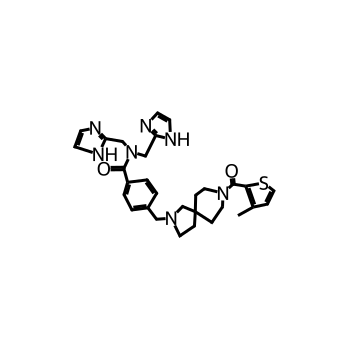 Cc1ccsc1C(=O)N1CCC2(CCN(Cc3ccc(C(=O)N(Cc4ncc[nH]4)Cc4ncc[nH]4)cc3)C2)CC1